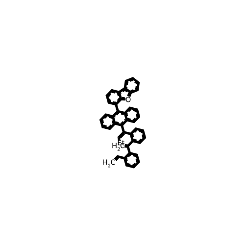 C=Cc1ccccc1C(=C)c1ccccc1/C(=C\CC)c1c2ccccc2c(-c2cccc3c2oc2ccccc23)c2ccccc12